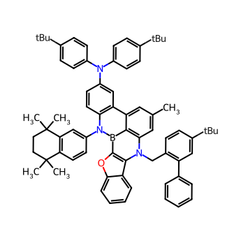 Cc1cc2c3c(c1)N(Cc1ccc(C(C)(C)C)cc1-c1ccccc1)c1c(oc4ccccc14)B3N(c1ccc3c(c1)C(C)(C)CCC3(C)C)c1ccc(N(c3ccc(C(C)(C)C)cc3)c3ccc(C(C)(C)C)cc3)cc1-2